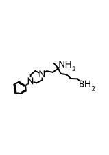 BCCCCC(C)(N)CCN1CCN(c2ccccc2)CC1